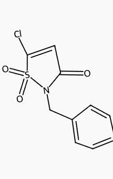 O=C1C=C(Cl)S(=O)(=O)N1Cc1ccccc1